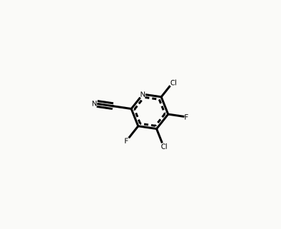 N#Cc1nc(Cl)c(F)c(Cl)c1F